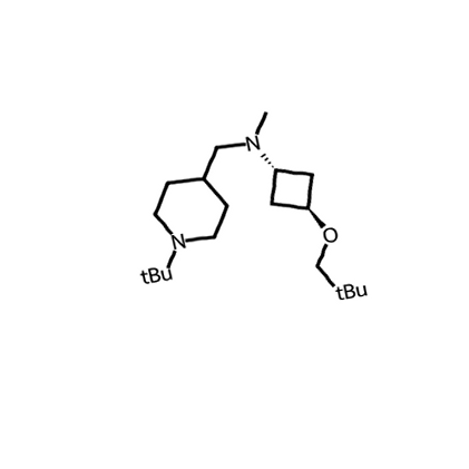 CN(CC1CCN(C(C)(C)C)CC1)[C@H]1C[C@H](OCC(C)(C)C)C1